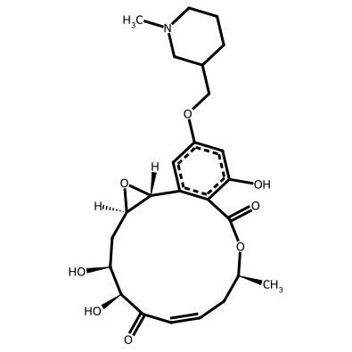 C[C@H]1C/C=C\C(=O)[C@@H](O)[C@@H](O)C[C@H]2O[C@@H]2c2cc(OCC3CCCN(C)C3)cc(O)c2C(=O)O1